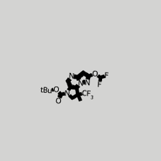 CC(C)(C)OC(=O)N1CC(C)(C(F)(F)F)c2c1cnc1cc(OC(F)F)nn21